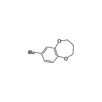 CCC(C)c1ccc2c(c1)OCCCO2